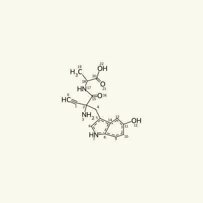 C#CC(N)(Cc1c[nH]c2ccc(O)cc12)C(=O)NC(C)C(=O)O